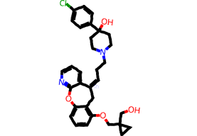 OCC1(COc2cccc3c2C/C(=C/CCN2CCC(O)(c4ccc(Cl)cc4)CC2)c2cccnc2O3)CC1